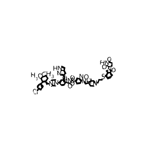 CC1(C)CCC(CN2CCN(c3ccc(C(=O)NS(=O)(=O)c4ccc(NCC5CCN(CCCSc6cccc7c6CN(C6CCC(=O)NC6=O)C7=O)CC5)c([N+](=O)[O-])c4)c(Oc4cnc5[nH]ccc5c4)c3)CC2)=C(c2ccc(Cl)cc2)C1